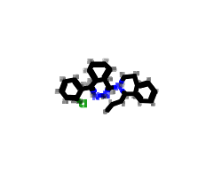 CCCC1c2ccccc2CCN1c1nnc(-c2ccccc2Cl)c2ccccc12